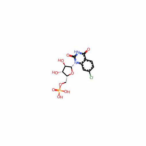 O=c1[nH]c(=O)n([C@@H]2O[C@H](COP(=O)(O)O)[C@H](O)[C@H]2O)c2cc(Cl)ccc12